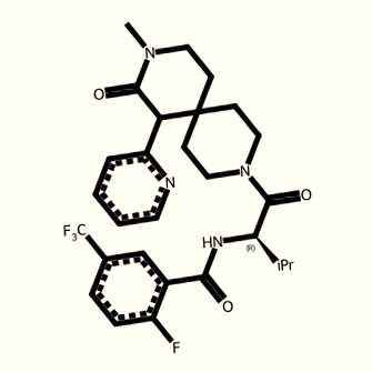 CC(C)[C@@H](NC(=O)c1cc(C(F)(F)F)ccc1F)C(=O)N1CCC2(CCN(C)C(=O)C2c2ccccn2)CC1